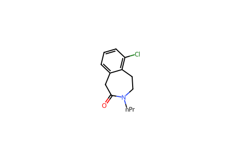 CCCN1CCc2c(Cl)cccc2CC1=O